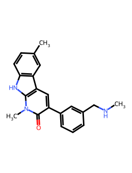 CNCc1cccc(-c2cc3c4cc(C)ccc4[nH]c3n(C)c2=O)c1